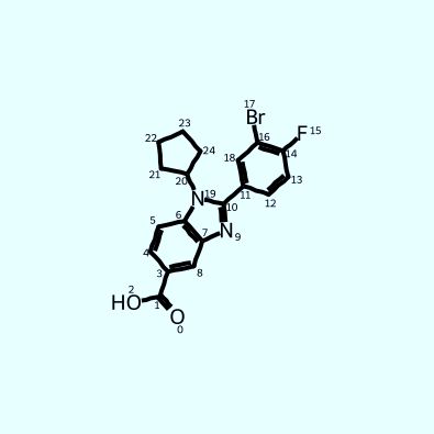 O=C(O)c1ccc2c(c1)nc(-c1ccc(F)c(Br)c1)n2C1CCCC1